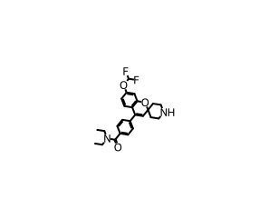 CCN(CC)C(=O)c1ccc(C2=CC3(CCNCC3)Oc3cc(OC(F)F)ccc32)cc1